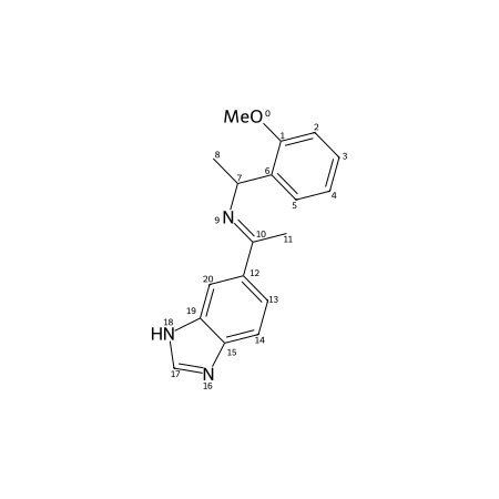 COc1ccccc1C(C)N=C(C)c1ccc2nc[nH]c2c1